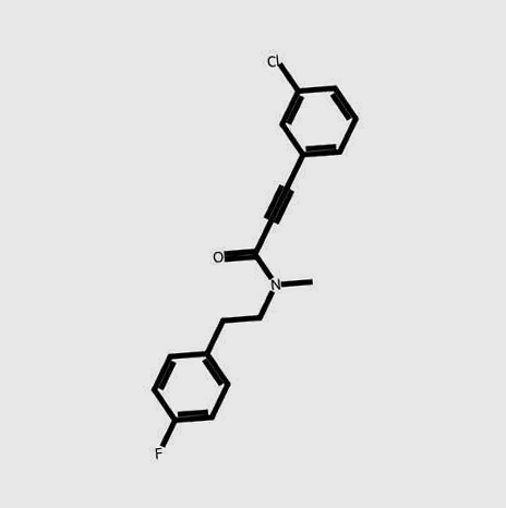 CN(CCc1ccc(F)cc1)C(=O)C#Cc1cccc(Cl)c1